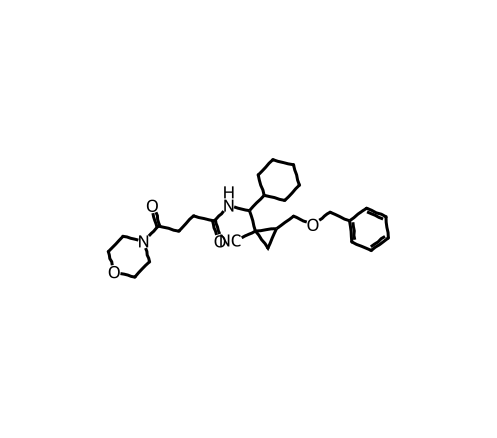 N#CC1(C(NC(=O)CCC(=O)N2CCOCC2)C2CCCCC2)CC1COCc1ccccc1